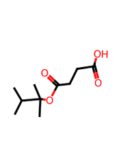 CC(C)C(C)(C)OC(=O)CCC(=O)O